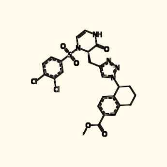 COC(=O)c1ccc2c(c1)CCCC2n1cc(C[C@@H]2C(=O)NC=CN2S(=O)(=O)c2ccc(Cl)c(Cl)c2)nn1